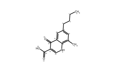 CCCCc1cc(C)c2[nH]cc(C(=O)O)c(=O)c2c1